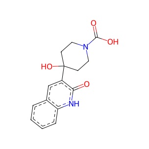 O=C(O)N1CCC(O)(c2cc3ccccc3[nH]c2=O)CC1